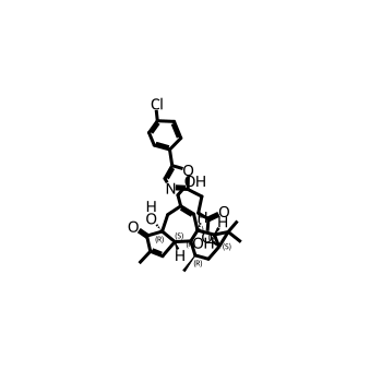 CC1=C[C@H]2[C@@]3(O)[C@H](C)C[C@]4(OC(=O)CCc5ncc(-c6ccc(Cl)cc6)o5)[C@H]([C@@H]3C=C(CO)C[C@]2(O)C1=O)C4(C)C